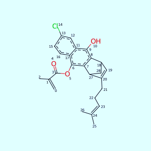 C=C(C)C(=O)Oc1c2c(c(O)c3cc(Cl)ccc13)C1C=C(CCC=C(C)C)C2C1